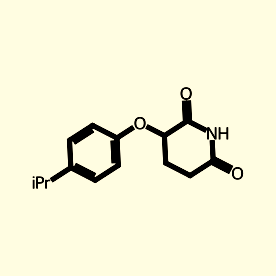 CC(C)c1ccc(OC2CCC(=O)NC2=O)cc1